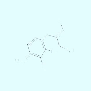 COc1ccc(C/C(=C\F)CN)c(F)c1F